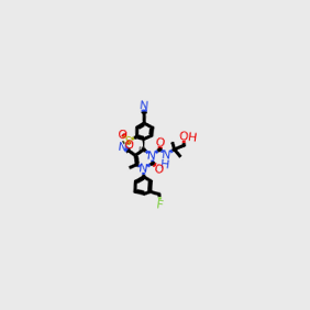 CC1=C(C#N)[C@@H](c2ccc(C#N)cc2S(C)(=O)=O)N(C(=O)NC(C)(C)CO)C(=O)N1c1cccc(CF)c1